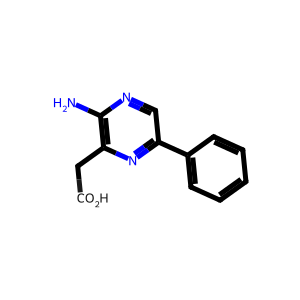 Nc1ncc(-c2ccccc2)nc1CC(=O)O